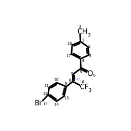 Cc1ccc(C(=O)/C=C(/c2ccc(Br)cc2)C(F)(F)F)cc1